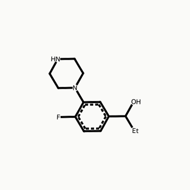 CCC(O)c1ccc(F)c(N2CCNCC2)c1